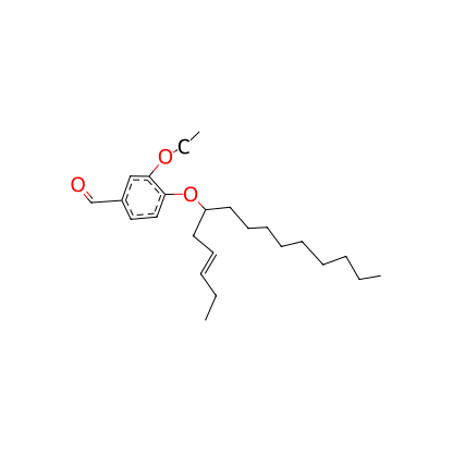 CCC=CCC(CCCCCCCCC)Oc1ccc(C=O)cc1OCC